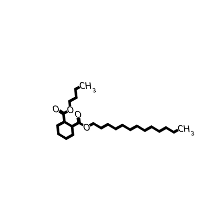 CCCCCCCCCCCCCOC(=O)C1CCCCC1C(=O)OCCCC